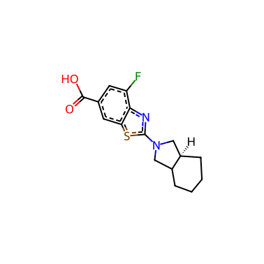 O=C(O)c1cc(F)c2nc(N3CC4CCCC[C@@H]4C3)sc2c1